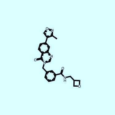 Cc1nocc1-c1ccc2c(=O)n(Cc3cccc(C(=O)NCC4COC4)c3)cnc2c1